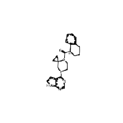 O=C([C@@H]1CCCc2ccccc21)N1CCN(c2ncnc3[nH]ccc23)CC12CC2